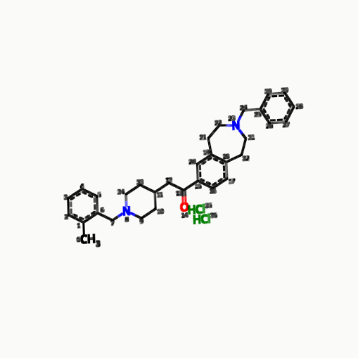 Cc1ccccc1CN1CCC(CC(=O)c2ccc3c(c2)CCN(Cc2ccccc2)CC3)CC1.Cl.Cl